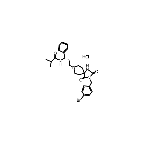 CC(C)C(=O)N[C@@H](CCN1CCC2(CC1)NC(=O)N(Cc1ccc(Br)cc1)C2=O)c1ccccc1.Cl